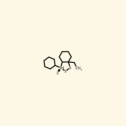 CCC12CCCCC1[SH](=S)(C1CCCCC1)SS2